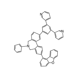 c1ccc(N2Cc3cc(-c4cccc5oc6ccccc6c45)ccc3-c3cc(-c4cc(-c5cccnc5)cc(-c5cccnc5)c4)ccc3C2)cc1